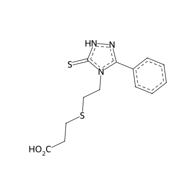 O=C(O)CCSCCn1c(-c2ccccc2)n[nH]c1=S